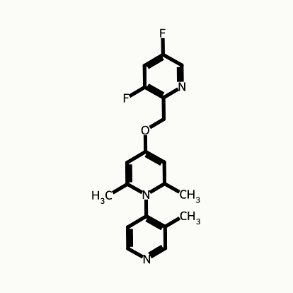 CC1=CC(OCc2ncc(F)cc2F)=CC(C)N1c1ccncc1C